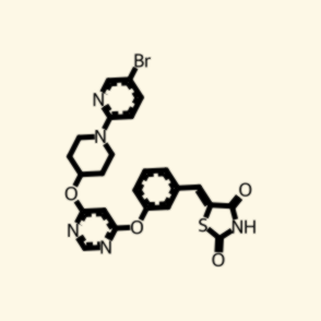 O=C1NC(=O)C(=Cc2cccc(Oc3cc(OC4CCN(c5ccc(Br)cn5)CC4)ncn3)c2)S1